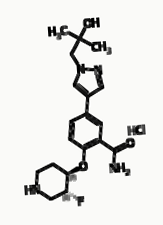 CC(C)(O)Cn1cc(-c2ccc(O[C@@H]3CCNC[C@H]3F)c(C(N)=O)c2)cn1.Cl